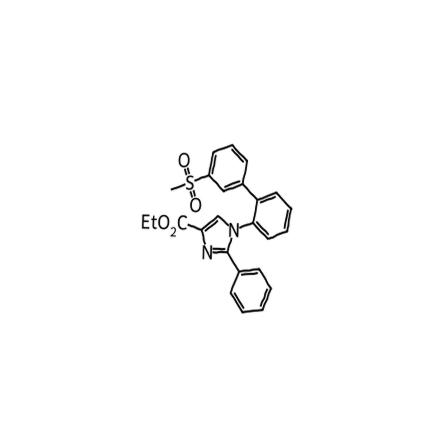 CCOC(=O)c1cn(-c2ccccc2-c2cccc(S(C)(=O)=O)c2)c(-c2ccccc2)n1